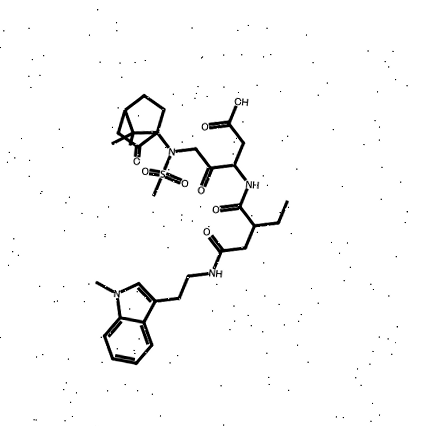 CCC(CC(=O)NCCc1cn(C)c2ccccc12)C(=O)NC(CC(=O)O)C(=O)CN(C12CCC(CC1=O)C2(C)C)S(C)(=O)=O